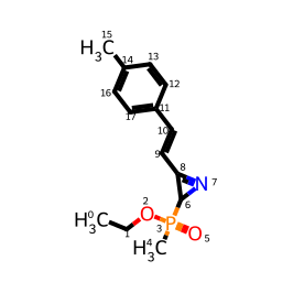 CCOP(C)(=O)C1N=C1/C=C/c1ccc(C)cc1